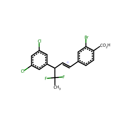 CC(F)(F)C(/C=C/c1ccc(C(=O)O)c(Br)c1)c1cc(Cl)cc(Cl)c1